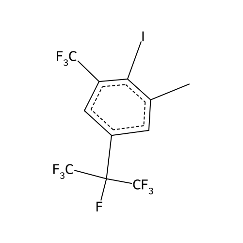 Cc1cc(C(F)(C(F)(F)F)C(F)(F)F)cc(C(F)(F)F)c1I